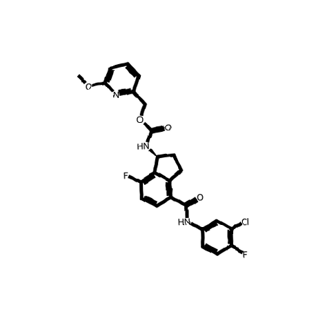 COc1cccc(COC(=O)N[C@H]2CCc3c(C(=O)Nc4ccc(F)c(Cl)c4)ccc(F)c32)n1